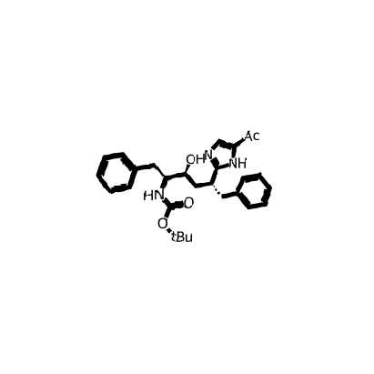 CC(=O)c1cnc([C@H](Cc2ccccc2)C[C@H](O)[C@H](Cc2ccccc2)NC(=O)OC(C)(C)C)[nH]1